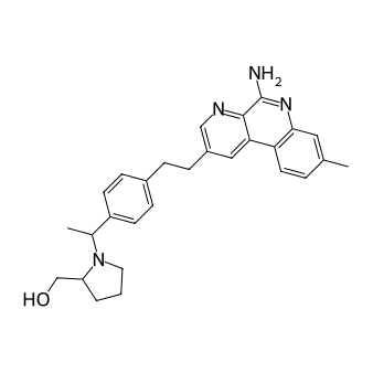 Cc1ccc2c(c1)nc(N)c1ncc(CCc3ccc(C(C)N4CCCC4CO)cc3)cc12